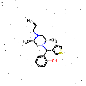 C=CCN1C[C@H](C)N([C@H](c2ccsc2)c2ccccc2O)C[C@H]1C